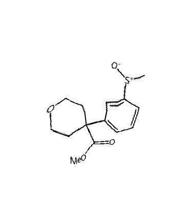 COC(=O)C1(c2cccc([S+](C)[O-])c2)CCOCC1